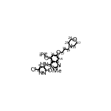 COc1nnc(Cl)cc1Nc1ncnc2cc(OCCCN3CCOCC3)cc(OC(C)C)c12